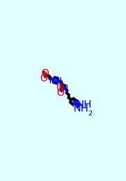 COC(=O)CCN1CCN(CC2CN(CCCCC3CCN(C(=N)N)CC3)C(=O)O2)CC1